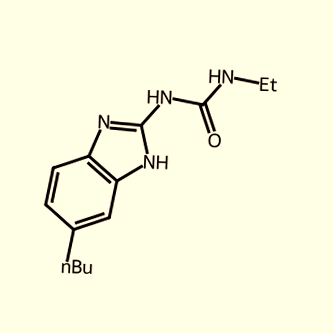 CCCCc1ccc2nc(NC(=O)NCC)[nH]c2c1